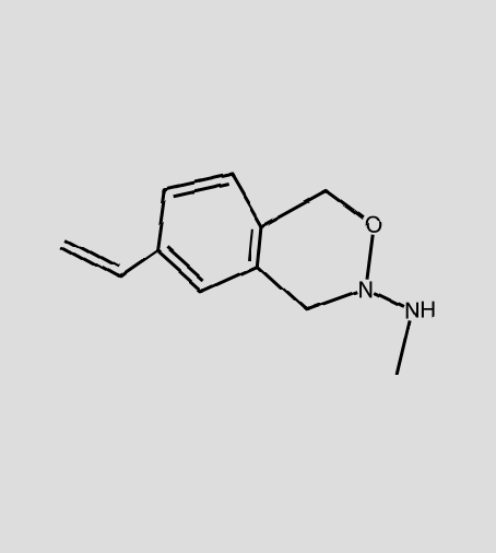 C=Cc1ccc2c(c1)CN(NC)OC2